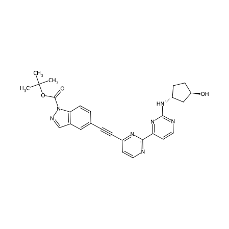 CC(C)(C)OC(=O)n1ncc2cc(C#Cc3ccnc(-c4ccnc(N[C@@H]5CC[C@@H](O)C5)n4)n3)ccc21